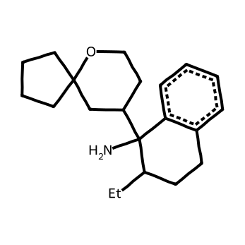 CCC1CCc2ccccc2C1(N)C1CCOC2(CCCC2)C1